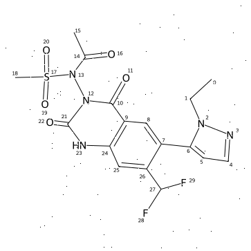 CCn1nccc1-c1cc2c(=O)n(N(C(C)=O)S(C)(=O)=O)c(=O)[nH]c2cc1C(F)F